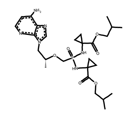 CC(C)COC(=O)C1(NP(=O)(CO[C@H](C)Cn2cnc3c(N)ccnc32)NC2(C(=O)OCC(C)C)CC2)CC1